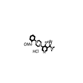 CCCSc1c(C(=O)N(C)C)cncc1N1CCN(c2ccccc2OC)CC1.Cl